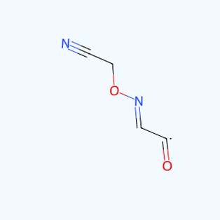 N#CCON=C[C]=O